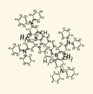 Cc1cc(N(c2ccccc2)c2ccccc2)cc(C)c1B1c2c(C)cc(N(c3ccccc3)c3ccccc3)cc2-c2cc3ccc4c5c(cc6ccc1c2c6c35)-c1cc(N(c2ccccc2)c2ccccc2)cc(C)c1B4c1c(C)cc(N(c2ccccc2)c2ccccc2)cc1C